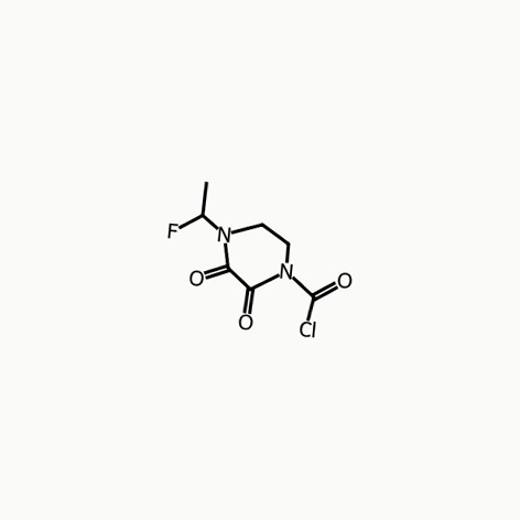 CC(F)N1CCN(C(=O)Cl)C(=O)C1=O